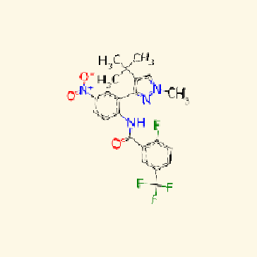 Cn1cc(C(C)(C)C)c(-c2cc([N+](=O)[O-])ccc2NC(=O)c2cc(C(F)(F)F)ccc2F)n1